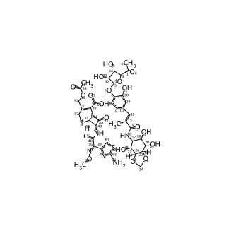 CC(=O)[C@H]1O[C@@H](Oc2ccc(/C=C(\C)C(=O)N[C@H]3[C@@H](O)[C@H](O)[C@@H]4OCO[C@@H]4[C@H]3O)cc2O)[C@@H](O)[C@@H]1O.CO/N=C(/C(=O)N[C@@H]1C(=O)N2C(C(=O)O)=C(COC(C)=O)CS[C@H]12)c1csc(N)n1